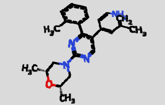 C=C(C)/C=C(\C=C/N)c1cnc(N2C[C@@H](C)O[C@@H](C)C2)nc1-c1ccccc1C